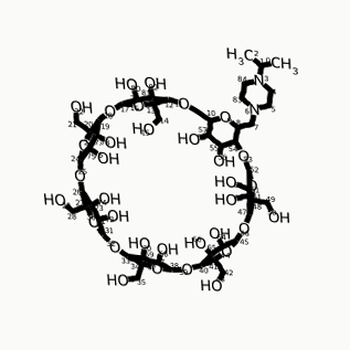 CC(C)N1CCN(CC2OC3OC4C(CO)OC(OC5C(CO)OC(OC6C(CO)OC(OC7C(CO)OC(OC8C(CO)OC(OC9C(CO)OC(OC2C(O)C3O)C(O)C9O)C(O)C8O)C(O)C7O)C(O)C6O)C(O)C5O)C(O)C4O)CC1